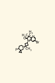 CC1(C)C(=O)N(C2CC(C)(N3CCC(F)C4(CC4)C3)C2)c2cc(Br)cnc21